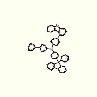 c1ccc(-c2ccc(N(c3ccc(-c4cccc5oc6ccccc6c45)cc3)c3ccc(C4(c5ccccc5)c5ccccc5-c5ccccc54)cc3)cc2)cc1